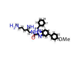 COc1ccc(-c2ccc3c(c2)nc(C(=O)NC[C@@H](N)CCCN)n3Cc2ccccc2)cc1